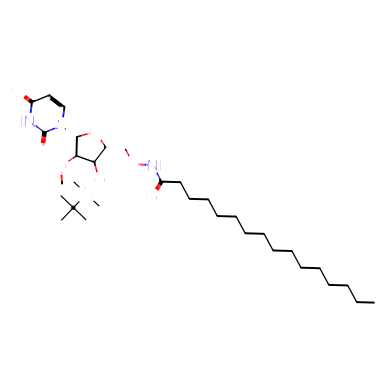 CCCCCCCCCCCCCCCC(=O)NOC[C@H]1O[C@@H](n2ccc(=O)[nH]c2=O)C(OC)C1O[Si](C)(C)C(C)(C)C